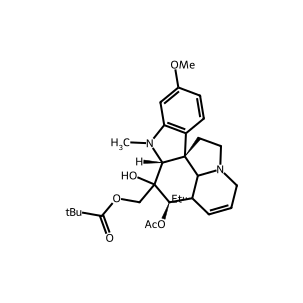 CC[C@]12C=CCN3CC[C@@]4(c5ccc(OC)cc5N(C)[C@H]4C(O)(COC(=O)C(C)(C)C)[C@@H]1OC(C)=O)C32